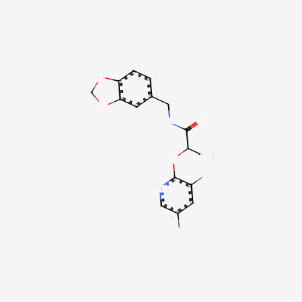 CC(Oc1ncc(Cl)cc1Cl)C(=O)NCc1ccc2c(c1)OCO2